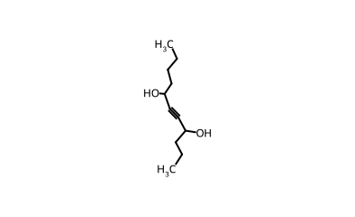 CCCCC(O)C#CC(O)CCC